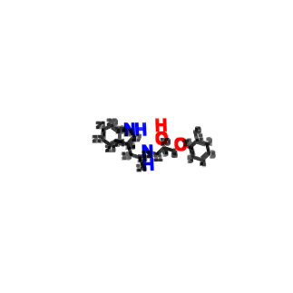 Cc1ccccc1OC[C@@H](O)CNC(C)Cc1c[nH]c2ccccc12